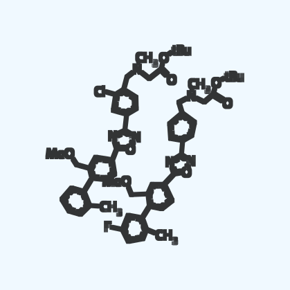 COCc1cc(-c2nc(-c3ccc(CN(C)CC(=O)OC(C)(C)C)c(Cl)c3)no2)ccc1-c1ccccc1C.COCc1cc(-c2nc(-c3ccc(CN(C)CC(=O)OC(C)(C)C)cc3)no2)ccc1-c1cc(F)ccc1C